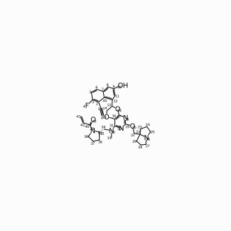 C#Cc1c(F)ccc2cc(O)cc(C3COc4c(nc(OCC56CCCN5CCC6)nc4N(C)C[C@@H]4CCCN4C(=O)C=C)O3)c12